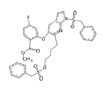 COC(=O)c1ccc(F)cc1Oc1cc2ccn(S(=O)(=O)Cc3ccccc3)c2nc1CCCCOS(=O)(=O)Cc1ccccc1